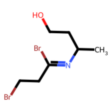 CC(CCO)N=C(Br)CCBr